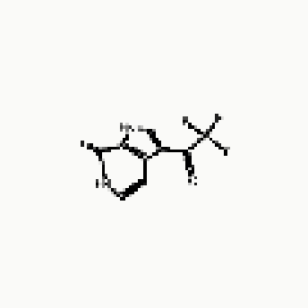 O=C(c1c[nH]c2c(=O)[nH]ccc12)C(F)(F)F